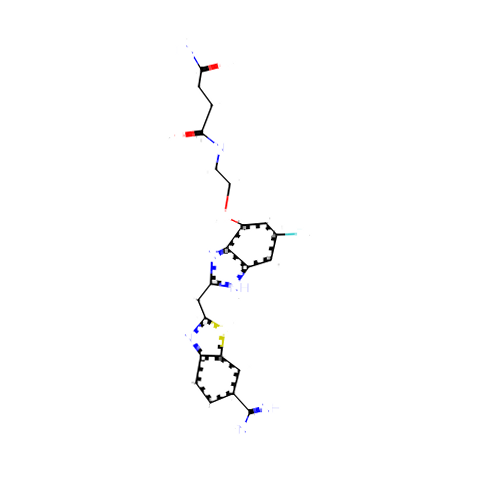 N=C(N)c1ccc2nc(Cc3nc4c(OCCNC(=O)CCC(N)=O)cc(F)cc4[nH]3)sc2c1